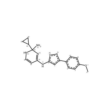 COc1ccc(-c2cc(NC3=NC(N)(C4CC4)NC=C3)on2)cc1